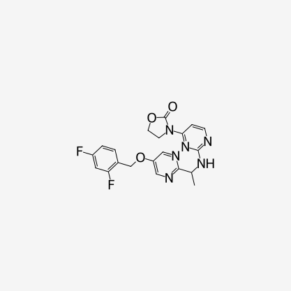 CC(Nc1nccc(N2CCOC2=O)n1)c1ncc(OCc2ccc(F)cc2F)cn1